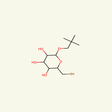 CC(C)(C)COC1OC(CS)C(O)C(O)C1O